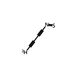 [2H]C#CC#CN=S